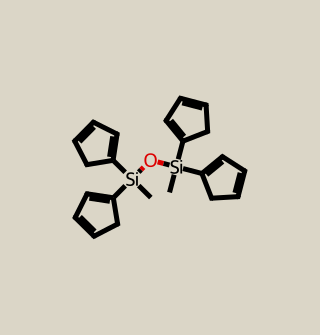 C[Si](O[Si](C)(C1=CC=CC1)C1=CC=CC1)(C1=CC=CC1)C1=CC=CC1